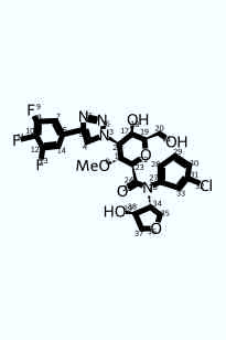 CO[C@@H]1[C@@H](n2cc(-c3cc(F)c(F)c(F)c3)nn2)[C@@H](O)[C@@H](CO)O[C@H]1C(=O)N(c1cccc(Cl)c1)[C@@H]1COC[C@H]1O